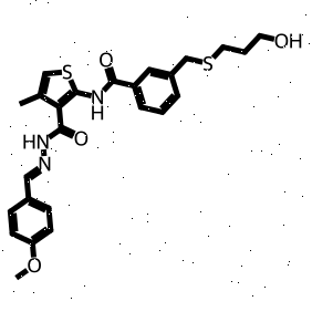 COc1ccc(C=NNC(=O)c2c(C)csc2NC(=O)c2cccc(CSCCCO)c2)cc1